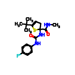 CNC(=O)C1(NC(=O)Nc2ccc(F)cc2)CC=C(C(C)(C)C)S1